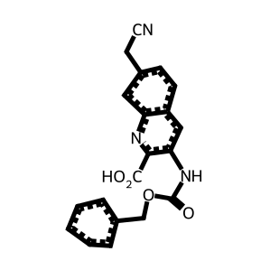 N#CCc1ccc2cc(NC(=O)OCc3ccccc3)c(C(=O)O)nc2c1